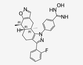 C[C@H]1c2oncc2C[C@@]2(C)c3c(c(-c4ccccc4F)nn3-c3ccc(C(=N)NO)cc3)CC[C@H]12